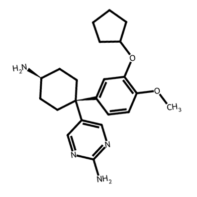 COc1ccc([C@]2(c3cnc(N)nc3)CC[C@H](N)CC2)cc1OC1CCCC1